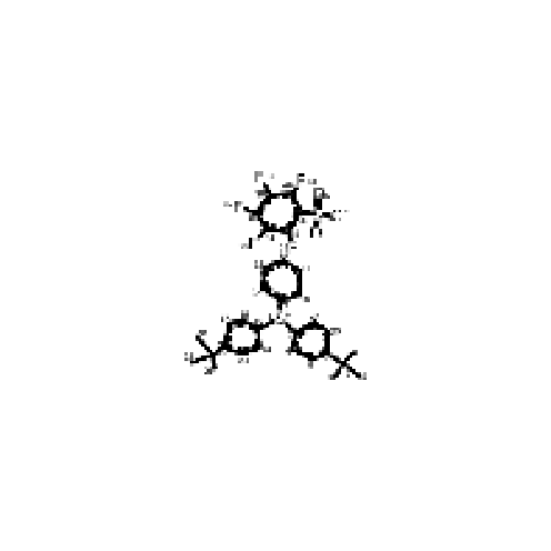 CC(C)(C)c1ccc([S+](c2ccccc2)c2ccc(C(C)(C)C)cc2)cc1.O=S(=O)([O-])c1c(F)c(F)c(F)c(F)c1F